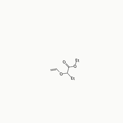 C=COC(CC)C(=O)OCC